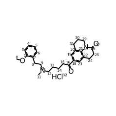 COc1ccccc1CCN(C)CCCCC(=O)c1cc2c3c(c1)CCC(=O)N3CCC2.Cl